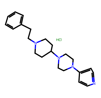 Cl.c1ccc(CCN2CCC(N3CCN(c4ccncc4)CC3)CC2)cc1